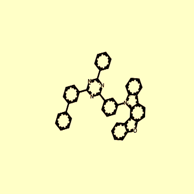 c1ccc(-c2cccc(-c3nc(-c4ccccc4)nc(-c4cccc(-n5c6ccccc6c6ccc7oc8ccccc8c7c65)c4)n3)c2)cc1